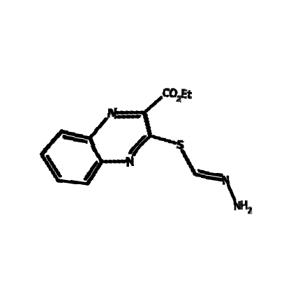 CCOC(=O)c1nc2ccccc2nc1SC=NN